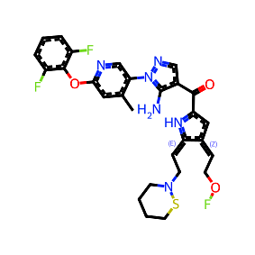 Cc1cc(Oc2c(F)cccc2F)ncc1-n1ncc(C(=O)c2cc(=C/COF)/c(=C\CN3CCCCS3)[nH]2)c1N